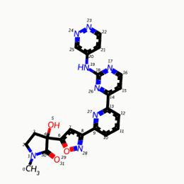 CN1CCC(O)(c2cc(-c3cccc(-c4ccnc(Nc5ccnnc5)n4)n3)no2)C1=O